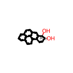 O[C@@H]1C=Cc2c(cc3ccc4cccc5ccc2c3c45)[C@H]1O